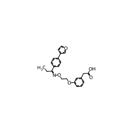 CCC(=NOCCOc1cccc(CC(=O)O)c1)c1ccc(-c2ccoc2)cc1